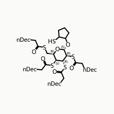 CCCCCCCCCCCC(=O)SC[C@H]1O[C@H](OC2CCCC2S)[C@@H](SC(=O)CCCCCCCCCCC)[C@H](SC(=O)CCCCCCCCCCC)[C@H]1SC(=O)CCCCCCCCCCC